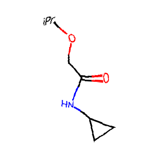 CC(C)OCC(=O)NC1CC1